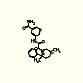 C[C@H]1CC[C@](C)(c2ccccc2)N(C(=O)C(=O)Nc2cncc(C(N)=O)c2)C1